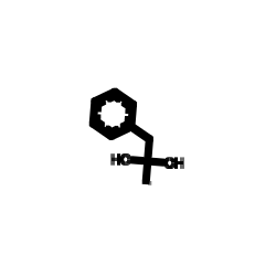 [CH2]C(O)(O)Cc1ccccc1